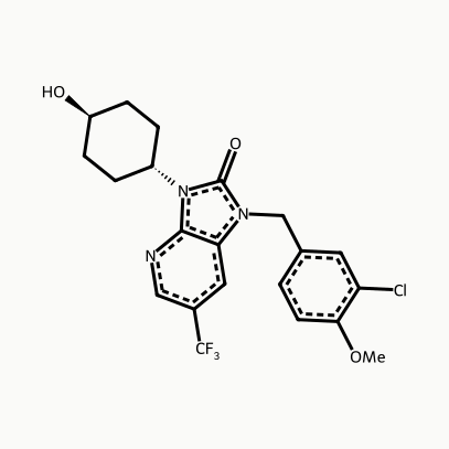 COc1ccc(Cn2c(=O)n([C@H]3CC[C@H](O)CC3)c3ncc(C(F)(F)F)cc32)cc1Cl